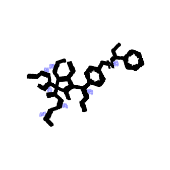 C=C/C=C\C(=C/C)C1(C(=C)/C=C\C=C/C)C(C)=C(/C(=C\C=C)c2ccc(C/N=C(\CC)c3ccccc3)cc2)C(C=C)=C1/C=C\C